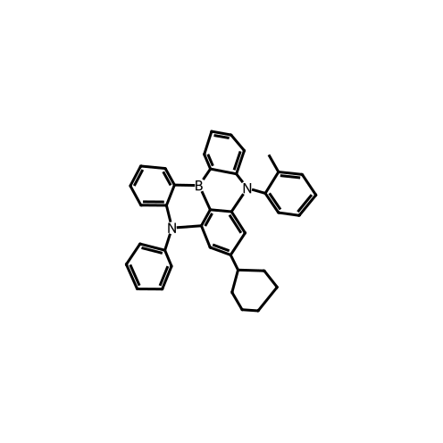 Cc1ccccc1N1c2ccccc2B2c3ccccc3N(c3ccccc3)c3cc(C4CCCCC4)cc1c32